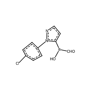 O=CB(O)c1ccnn1-c1ccc(Cl)cc1